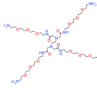 NCCOCCOCCOCCNC(=O)CN(CCN(CC(=O)NCCOCCOCCOCCN)CC(=O)NCCOCCOCCOCCN)CC(=O)NCCOCCOCCOCCN